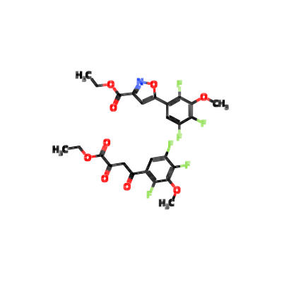 CCOC(=O)C(=O)CC(=O)c1cc(F)c(F)c(OC)c1F.CCOC(=O)c1cc(-c2cc(F)c(F)c(OC)c2F)on1